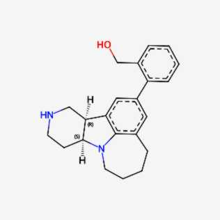 OCc1ccccc1-c1cc2c3c(c1)[C@@H]1CNCC[C@@H]1N3CCCC2